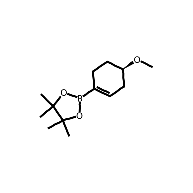 CO[C@H]1CC=C(B2OC(C)(C)C(C)(C)O2)CC1